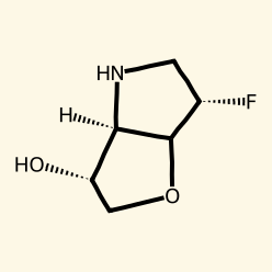 O[C@H]1COC2[C@@H](F)CN[C@@H]21